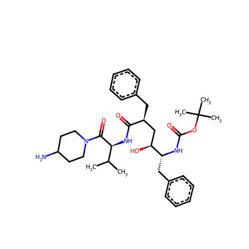 CC(C)[C@H](NC(=O)[C@@H](Cc1ccccc1)C[C@H](O)[C@@H](Cc1ccccc1)NC(=O)OC(C)(C)C)C(=O)N1CCC(N)CC1